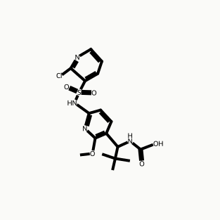 COc1nc(NS(=O)(=O)c2cccnc2Cl)ccc1C(NC(=O)O)C(C)(C)C